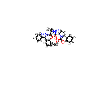 CC[C@H](C)[C@H](NC(=O)[C@@H]1CC[C@H](c2ccccc2)N1C(=O)OC(C)(C)C)C(=O)NC(c1ccccc1)c1ccccc1